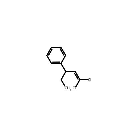 CCC(C=C(Cl)Cl)c1ccccc1